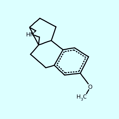 COc1ccc2c(c1)CCC13CNCC1CCC23